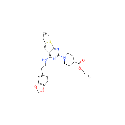 CCOC(=O)C1CCN(c2nc(NCCc3ccc4c(c3)OCO4)c3cc(CC)sc3n2)CC1